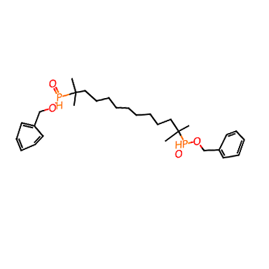 CC(C)(CCCCCCCCCC(C)(C)[PH](=O)OCc1ccccc1)[PH](=O)OCc1ccccc1